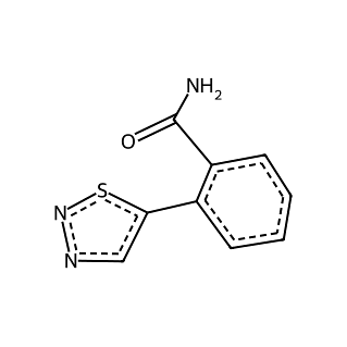 NC(=O)c1ccccc1-c1cnns1